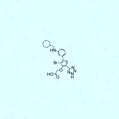 O=C(O)COc1c(-c2nn[nH]n2)sc(-c2cccc(NCC3CCCCC3)c2)c1Br